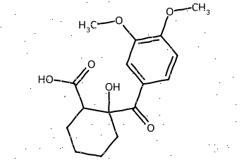 COc1ccc(C(=O)C2(O)CCCCC2C(=O)O)cc1OC